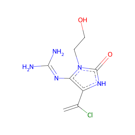 C=C(Cl)c1[nH]c(=O)n(CCO)c1N=C(N)N